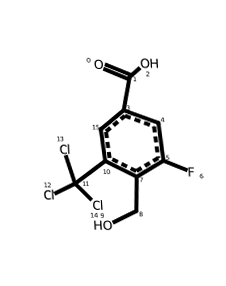 O=C(O)c1cc(F)c(CO)c(C(Cl)(Cl)Cl)c1